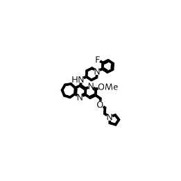 COc1nc2c(NC3CCN(c4ccccc4F)CC3)c3c(nc2cc1COCCN1CCCC1)CCCCC3